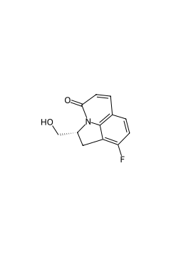 O=c1ccc2ccc(F)c3c2n1[C@@H](CO)C3